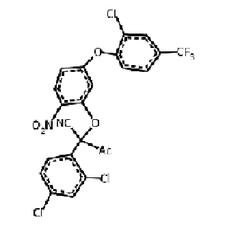 CC(=O)C(C#N)(Oc1cc(Oc2ccc(C(F)(F)F)cc2Cl)ccc1[N+](=O)[O-])c1ccc(Cl)cc1Cl